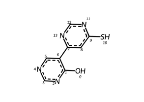 Oc1ncncc1-c1cc(S)ncn1